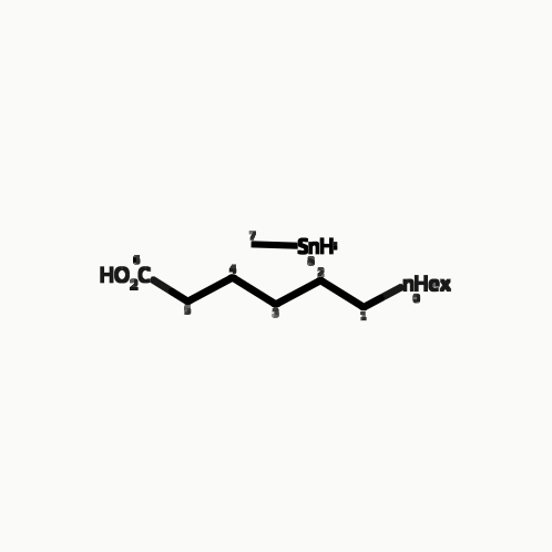 CCCCCCCCCCCC(=O)O.[CH3][SnH]